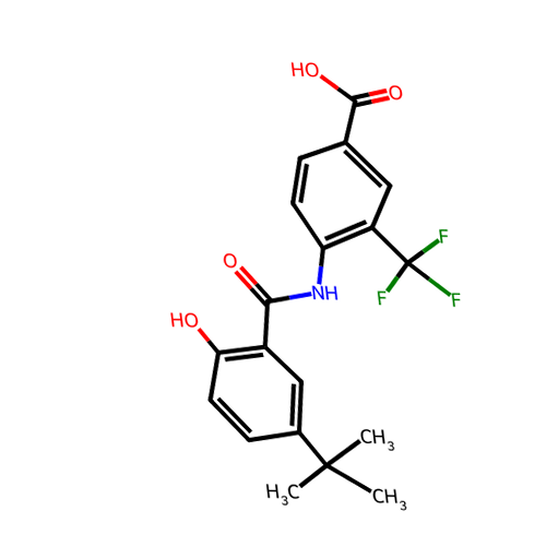 CC(C)(C)c1ccc(O)c(C(=O)Nc2ccc(C(=O)O)cc2C(F)(F)F)c1